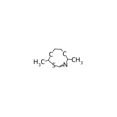 CC1CCCCC(C)S/C=N\1